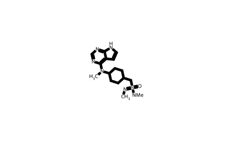 CN=S(=O)(CC1CCC(N(C)c2ncnc3[nH]ccc23)CC1)NC